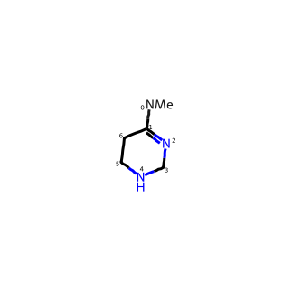 CNC1=NCNCC1